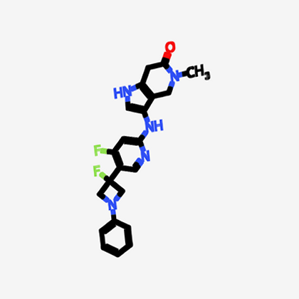 CN1Cc2c(Nc3cc(F)c(C4(F)CN(c5ccccc5)C4)cn3)c[nH]c2CC1=O